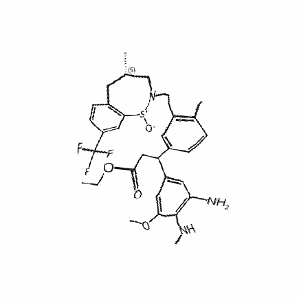 CCOC(=O)CC(c1ccc(C)c(CN2C[C@@H](C)Cc3ccc(C(F)(F)F)cc3[S+]2[O-])c1)c1cc(N)c(NC)c(OC)c1